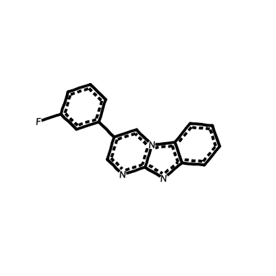 Fc1cccc(-c2cnc3nc4ccccc4n3c2)c1